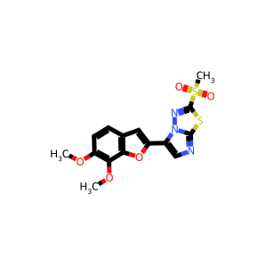 COc1ccc2cc(-c3cnc4sc(S(C)(=O)=O)nn34)oc2c1OC